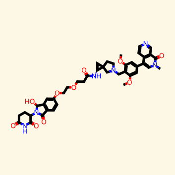 COc1cc(-c2cn(C)c(=O)c3cnccc23)cc(OC)c1CN1CCC2(C[C@H]2NC(=O)CCOCCOc2ccc3c(c2)C(O)N(C2CCC(=O)NC2=O)C3=O)C1